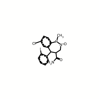 CN1c2ccc(Cl)cc2C(c2ccccc2I)C(C(N)=O)C[N+]1=O